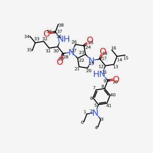 CCN(CC)c1ccc(C(=O)NC(CC(C)C)C(=O)N2CCC3C2C(=O)CN3C(=O)C(CCC(C)C)NC(C)=O)cc1